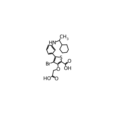 CC(Nc1cccc(-c2sc(C(=O)O)c(OCC(=O)O)c2Br)c1)C1CCCCC1